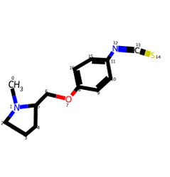 CN1CCCC1COc1ccc(N=C=S)cc1